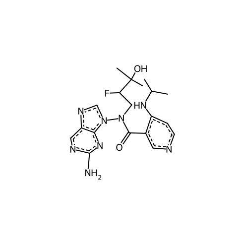 CC(C)Nc1ccncc1C(=O)N(CC(F)C(C)(C)O)n1cnc2cnc(N)nc21